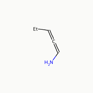 CCC=C=CN